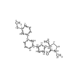 CSc1nccc(-c2cccc(-n3cc([C@]4(O)CCN(C)C4=O)nn3)n2)n1